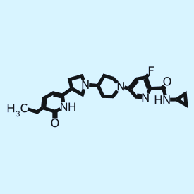 CCc1ccc(C2CCN(C3CCN(c4cnc(C(=O)NC5CC5)c(F)c4)CC3)C2)[nH]c1=O